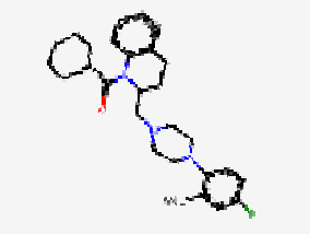 COc1cc(F)ccc1N1CCN(CC2CCc3ccccc3N2C(=O)C2CCCCC2)CC1